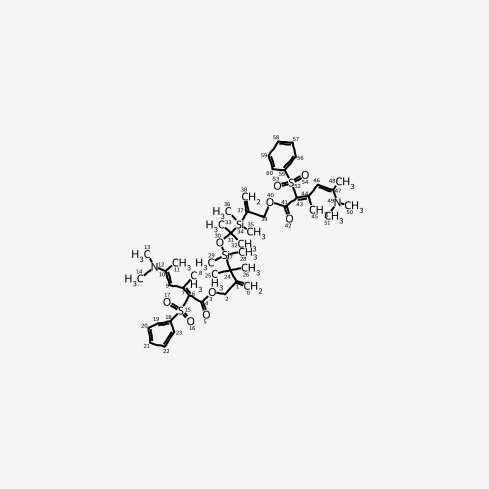 C=C(COC(=O)/C(=C(C)/C=C(\C)N(C)C)S(=O)(=O)c1ccccc1)C(C)(C)[Si](C)(C)OC(C)(C)[Si](C)(C)C(=C)COC(=O)/C(=C(C)/C=C(/C)N(C)C)S(=O)(=O)c1ccccc1